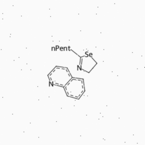 CCCCCC1=NCC[Se]1.c1ccc2ncccc2c1